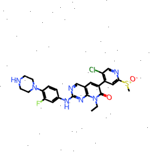 CCn1c(=O)c(-c2cc([S+](C)[O-])ncc2Cl)cc2cnc(Nc3ccc(N4CCNCC4)c(F)c3)nc21